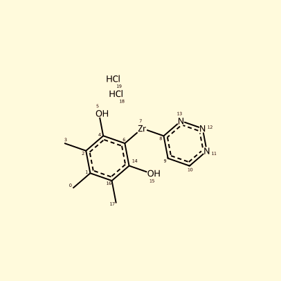 Cc1c(C)c(O)[c]([Zr][c]2ccnnn2)c(O)c1C.Cl.Cl